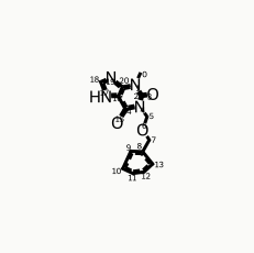 Cn1c(=O)n(COCc2ccccc2)c(=O)c2[nH]cnc21